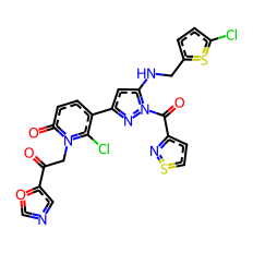 O=C(Cn1c(Cl)c(-c2cc(NCc3ccc(Cl)s3)n(C(=O)c3ccsn3)n2)ccc1=O)c1cnco1